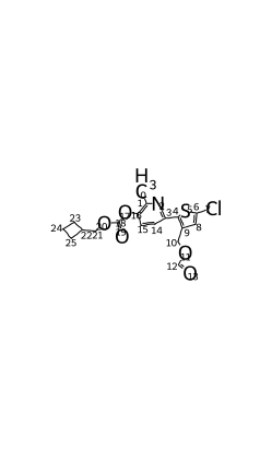 Cc1nc(-c2sc(Cl)cc2COC=O)ccc1OC(=O)OCC1CCC1